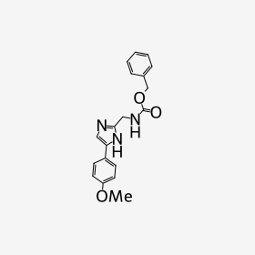 COc1ccc(-c2cnc(CNC(=O)OCc3ccccc3)[nH]2)cc1